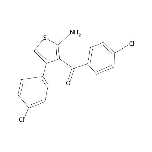 Nc1scc(-c2ccc(Cl)cc2)c1C(=O)c1ccc(Cl)cc1